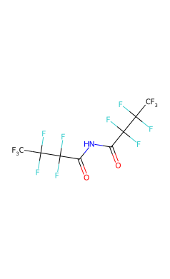 O=C(NC(=O)C(F)(F)C(F)(F)C(F)(F)F)C(F)(F)C(F)(F)C(F)(F)F